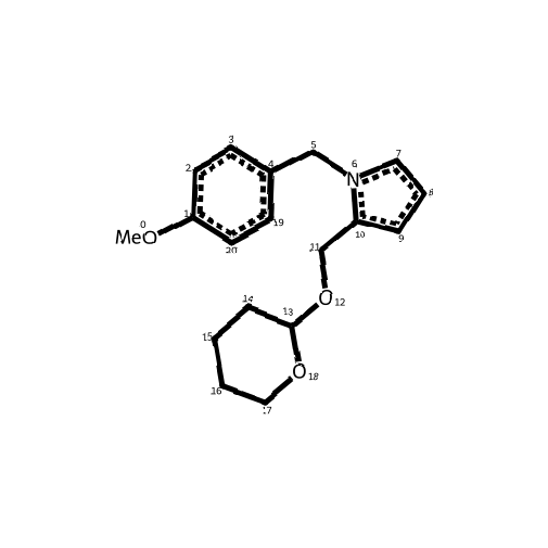 COc1ccc(Cn2cccc2COC2CCCCO2)cc1